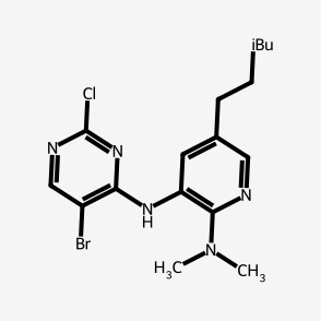 CCC(C)CCc1cnc(N(C)C)c(Nc2nc(Cl)ncc2Br)c1